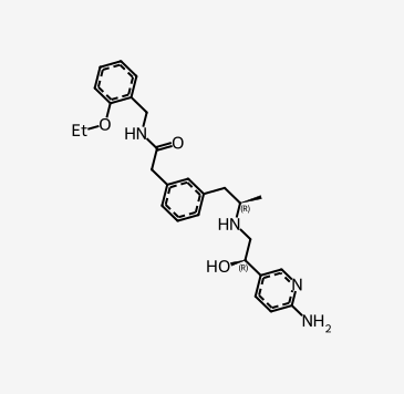 CCOc1ccccc1CNC(=O)Cc1cccc(C[C@@H](C)NC[C@H](O)c2ccc(N)nc2)c1